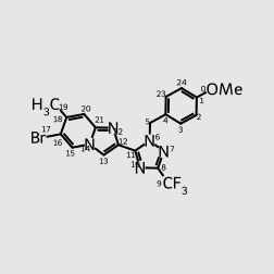 COc1ccc(Cn2nc(C(F)(F)F)nc2-c2cn3cc(Br)c(C)cc3n2)cc1